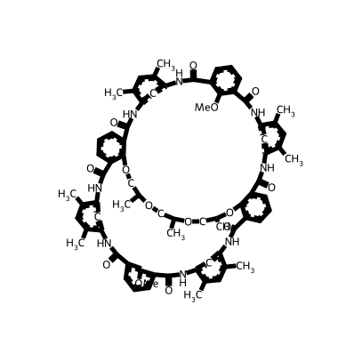 COc1c2cccc1C(=O)Nc1cc(c(C)cc1C)NC(=O)c1cccc3c1OC(C)COC(C)COC(C)COc1c(cccc1C(=O)Nc1cc(c(C)cc1C)NC(=O)c1cccc(c1OC)C(=O)Nc1cc(c(C)cc1C)NC3=O)C(=O)Nc1cc(c(C)cc1C)NC2=O